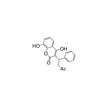 CC(=O)CC(c1ccccc1)c1c(O)c2cccc(O)c2oc1=O